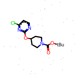 CC(C)(C)OC(=O)N1CCC(Oc2nccc(Cl)n2)CC1